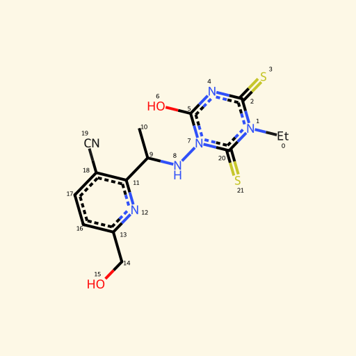 CCn1c(=S)nc(O)n(NC(C)c2nc(CO)ccc2C#N)c1=S